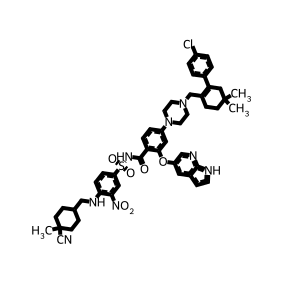 CC1(C)CCC(CN2CCN(c3ccc(C(=O)NS(=O)(=O)c4ccc(NCC5CCC(C)(C#N)CC5)c([N+](=O)[O-])c4)c(Oc4cnc5[nH]ccc5c4)c3)CC2)=C(c2ccc(Cl)cc2)C1